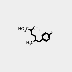 CC(CCC(C)C(=O)O)Cc1ccc(F)cc1